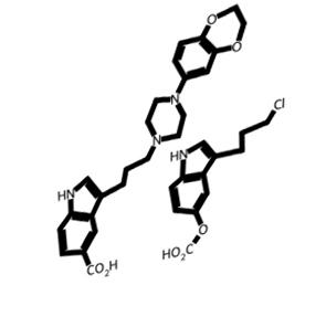 O=C(O)Oc1ccc2[nH]cc(CCCCl)c2c1.O=C(O)c1ccc2[nH]cc(CCCN3CCN(c4ccc5c(c4)OCCO5)CC3)c2c1